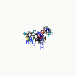 Nc1nc2c(-c3c(Cl)cc4c(N5[C@@H]6CNC[C@H]5COC6)nc(OCC56CCCN5CC(F)(F)C6)nc4c3F)ccc(F)c2s1